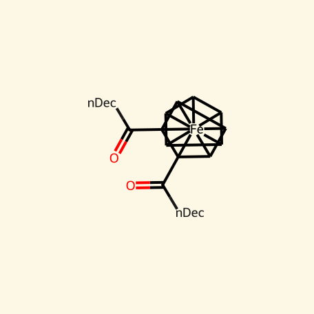 CCCCCCCCCCC(=O)[C]12[CH]3[CH]4[CH]5[C]1(C(=O)CCCCCCCCCC)[Fe]43521678[CH]2[CH]1[CH]6[CH]7[CH]28